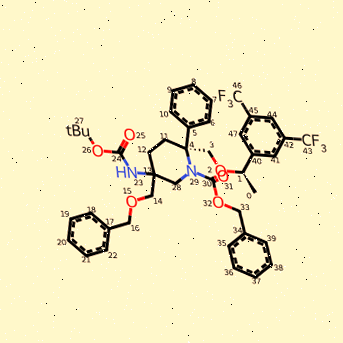 C[C@@H](OC[C@@]1(c2ccccc2)CCC(COCc2ccccc2)(NC(=O)OC(C)(C)C)CN1C(=O)OCc1ccccc1)c1cc(C(F)(F)F)cc(C(F)(F)F)c1